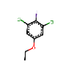 CCOc1cc(Cl)c(I)c(Cl)c1